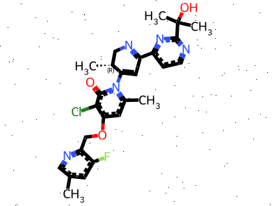 Cc1cnc(COc2cc(C)n(C3=CC(c4ccnc(C(C)(C)O)n4)=NC[C@H]3C)c(=O)c2Cl)c(F)c1